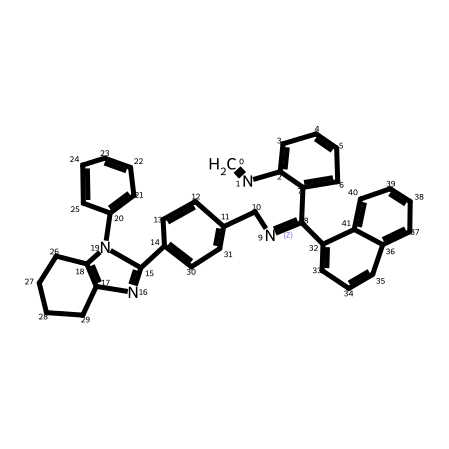 C=Nc1ccccc1/C(=N\Cc1ccc(-c2nc3c(n2-c2ccccc2)CCCC3)cc1)c1cccc2ccccc12